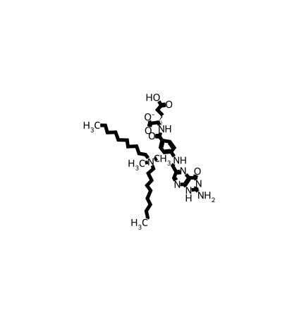 CCCCCCCCCC[N+](C)(C)CCCCCCCCCC.Nc1nc(=O)c2nc(CNc3ccc(C(=O)N[C@@H](CCC(=O)O)C(=O)[O-])cc3)cnc2[nH]1